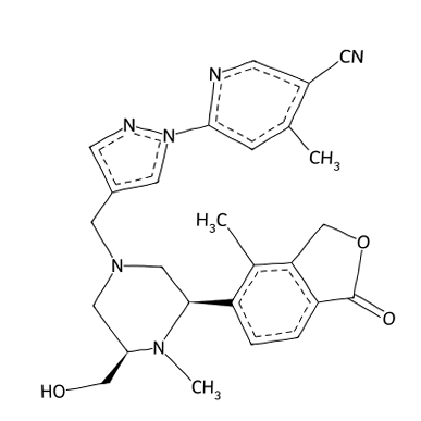 Cc1cc(-n2cc(CN3C[C@H](CO)N(C)[C@H](c4ccc5c(c4C)COC5=O)C3)cn2)ncc1C#N